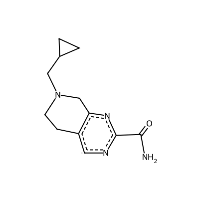 NC(=O)c1n[c]c2c(n1)CN(CC1CC1)CC2